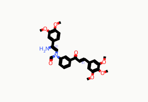 COc1ccc(/C(N)=C/N(C=O)c2cccc(C(=O)/C=C/c3cc(OC)c(OC)c(OC)c3)c2)cc1OC